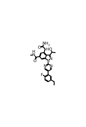 CCc1ccc(F)c(-c2cnc(-n3nc(C(C)O)c4c(CC(N)=O)cc(C(=O)NC)cc43)nc2)c1